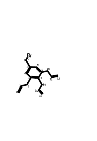 C=CCc1cc(CBr)cc(CC=C)c1CC=C